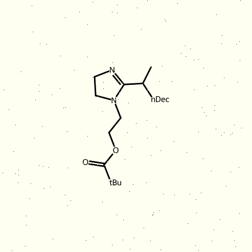 CCCCCCCCCCC(C)C1=NCCN1CCOC(=O)C(C)(C)C